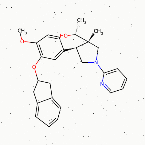 COc1ccc([C@@H]2CN(c3ccccn3)C[C@@]2(C)[C@@H](C)O)cc1OC1Cc2ccccc2C1